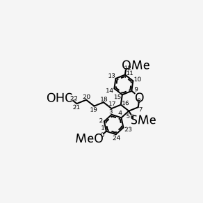 COc1ccc(C2(SC)COc3cc(OC)ccc3C2CCCCCC=O)cc1